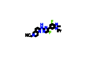 Cc1nc2c(F)cc(-c3nc(Nc4ccc5c(n4)CCN(CC#N)C5)ncc3F)cc2n1C(C)C